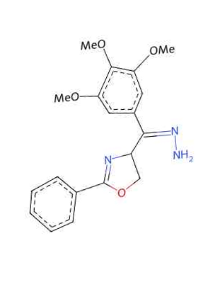 COc1cc(C(=NN)C2COC(c3ccccc3)=N2)cc(OC)c1OC